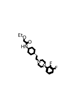 CCOCC(=O)N[C@H]1CC[C@H](CCN2CCN(c3cccc(F)c3F)CC2)CC1